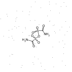 NC(=O)S(=O)(=O)OS(=O)(=O)C(N)=O